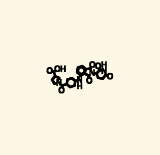 O=C1CCC(N2C(=O)c3cccc(NC4CCC(C(=O)N5CCC(C(=O)O)C5)CC4)c3C2=O)C(=O)N1